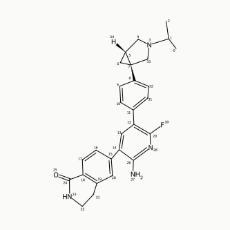 CC(C)N1C[C@H]2C[C@@]2(c2ccc(-c3cc(-c4ccc5c(c4)CCNC5=O)c(N)nc3F)cc2)C1